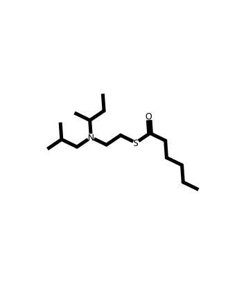 CCCCCC(=O)SCCN(CC(C)C)C(C)CC